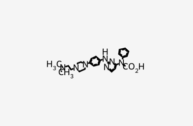 CN(C)CCN1CCN(c2ccc(Nc3nccc(N(C(=O)O)c4ccccc4)n3)cc2)CC1